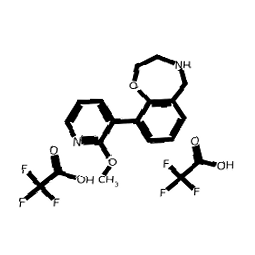 COc1ncccc1-c1cccc2c1OCCNC2.O=C(O)C(F)(F)F.O=C(O)C(F)(F)F